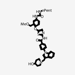 CCCCCNC(=O)Nc1ccc(Oc2cnc(NC(=O)c3ccc(-n4cc(CN5CCC(O)CC5)c5ccccc54)cc3)s2)c(COC)c1